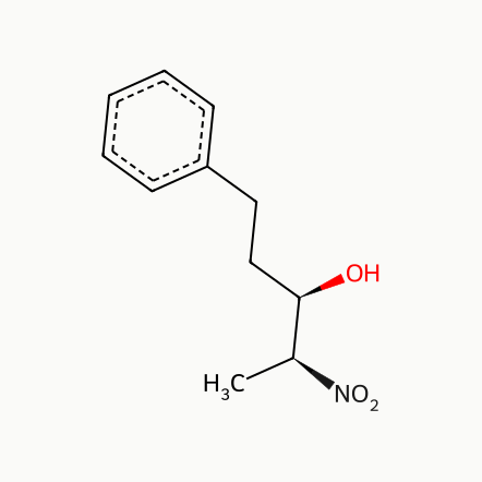 C[C@@H]([C@H](O)CCc1ccccc1)[N+](=O)[O-]